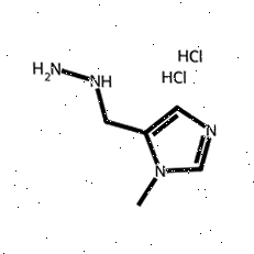 Cl.Cl.Cn1cncc1CNN